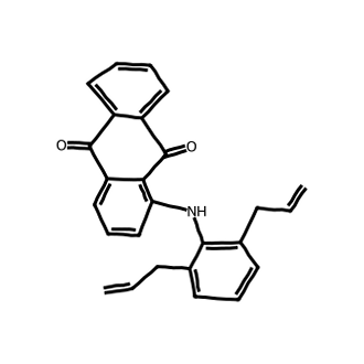 C=CCc1cccc(CC=C)c1Nc1cccc2c1C(=O)c1ccccc1C2=O